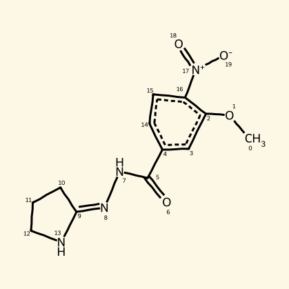 COc1cc(C(=O)N/N=C2\CCCN2)ccc1[N+](=O)[O-]